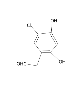 O=CCc1cc(Cl)c(O)cc1O